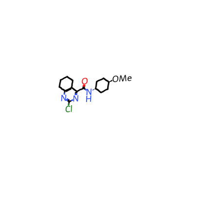 CO[C@H]1CC[C@H](NC(=O)c2nc(Cl)nc3c2CCCC3)CC1